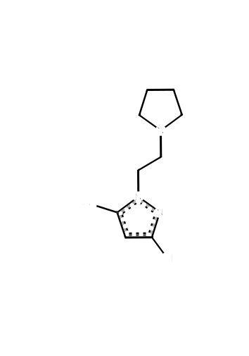 CCOC(=O)c1cc(C(F)(F)F)nn1CCN1CCCC1